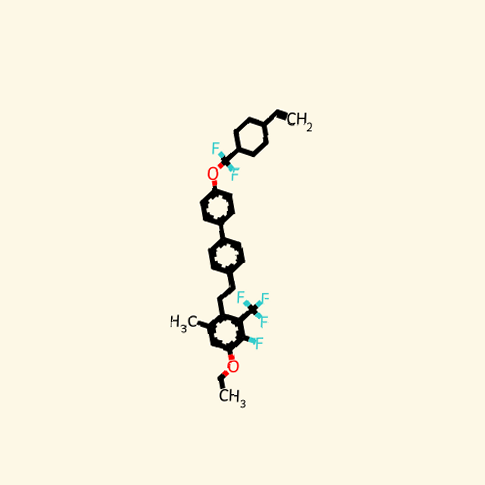 C=CC1CCC(C(F)(F)Oc2ccc(-c3ccc(CCc4c(C)cc(OCC)c(F)c4C(F)(F)F)cc3)cc2)CC1